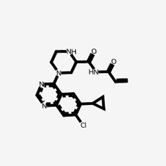 C=CC(=O)NC(=O)C1CN(c2ncnc3cc(Cl)c(C4CC4)cc23)CCN1